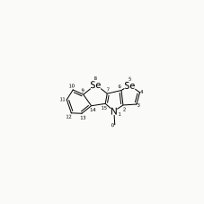 Cn1c2cc[se]c2c2[se]c3ccccc3c21